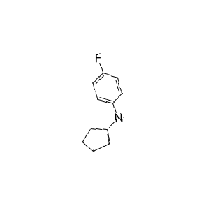 Fc1ccc([N]C2CCCC2)cc1